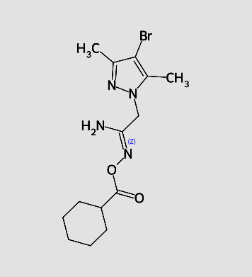 Cc1nn(C/C(N)=N/OC(=O)C2CCCCC2)c(C)c1Br